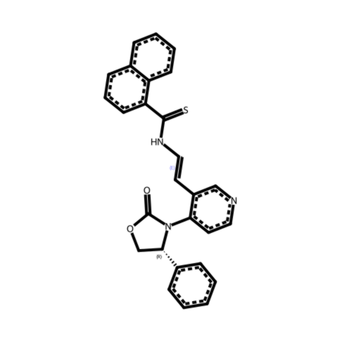 O=C1OC[C@@H](c2ccccc2)N1c1ccncc1/C=[C]/NC(=S)c1cccc2ccccc12